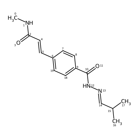 CNC(=O)/C=C/c1ccc(C(=O)N/N=C/C(C)C)cc1